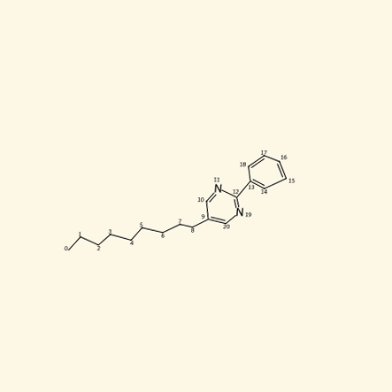 CCCCCCCCCc1cnc(-c2ccccc2)nc1